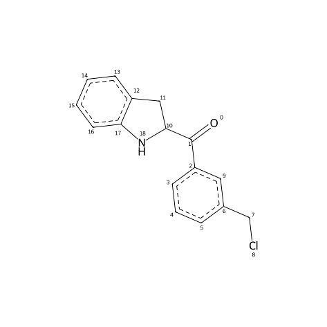 O=C(c1cccc(CCl)c1)C1Cc2ccccc2N1